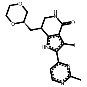 Cc1nccc(-c2[nH]c3c(c2I)C(=O)NCC3C[C@@H]2COCCO2)n1